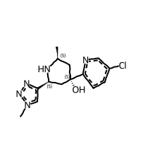 C[C@H]1C[C@@](O)(c2ccc(Cl)cn2)C[C@@H](c2cn(C)nn2)N1